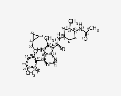 CC(=O)N[C@H]1CC[C@@H](NC(=O)c2c(C)[nH]c3c(-c4c(OCC5CC5)ccc(C)c4F)ncnc23)C[C@H]1C